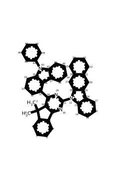 CC1(C)c2ccccc2-c2nc(-n3c4ccccc4c4cc5ccccc5cc43)nc(-c3cccc4c3c3ccccc3n4-c3ccccc3)c21